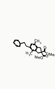 COC(=O)C1(C(=O)OC)Cc2c(C)cc(CCc3ccccc3)c(C)c2C1